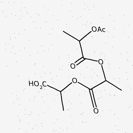 CC(=O)OC(C)C(=O)OC(C)C(=O)OC(C)C(=O)O